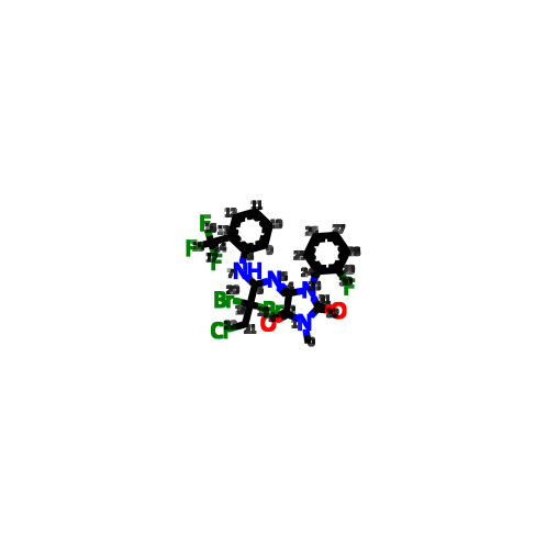 CN1C(=O)C(=NC(Nc2ccccc2C(F)(F)F)C(Br)(Br)CCl)N(c2ccccc2F)C1=O